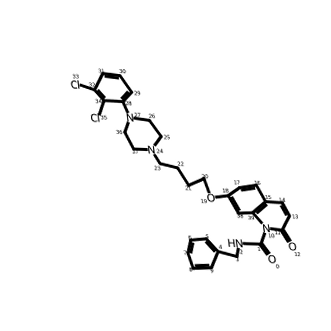 O=C(NCc1ccccc1)n1c(=O)ccc2ccc(OCCCCN3CCN(c4cccc(Cl)c4Cl)CC3)cc21